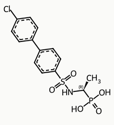 C[C@H](NS(=O)(=O)c1ccc(-c2ccc(Cl)cc2)cc1)P(=O)(O)O